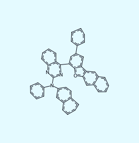 c1ccc(-c2cc(-c3nc(N(c4ccccc4)c4ccc5ccccc5c4)nc4ccccc34)c3oc4cc5ccccc5cc4c3c2)cc1